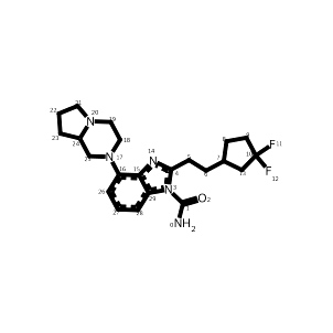 NC(=O)n1c(CCC2CCC(F)(F)C2)nc2c(N3CCN4CCCC4C3)cccc21